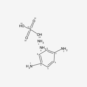 N.N.Nc1ccc(N)cc1.O=S(=O)(O)O